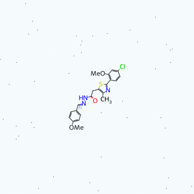 COc1ccc(/C=N/NC(=O)Cc2sc(-c3ccc(Cl)cc3OC)nc2C)cc1